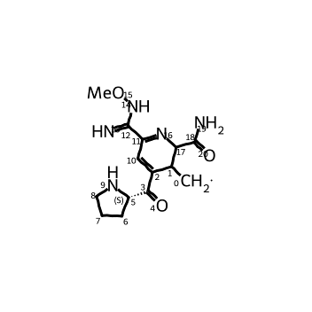 [CH2]C1C(C(=O)[C@@H]2CCCN2)=CC(C(=N)NOC)=NC1C(N)=O